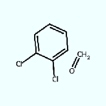 C=O.Clc1ccccc1Cl